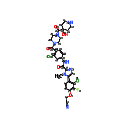 Cn1c(-c2ccc(OCC#N)c(F)c2Cl)cnc1C(=O)Nc1ccc(C(=O)N2CCN(C(=O)C3(O)CCNCC3)CC2)c(Cl)c1